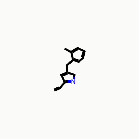 C=CC1=NCC(Cc2ccccc2C)=C1